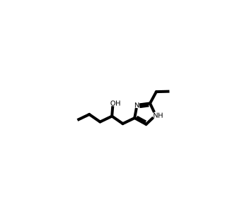 CCCC(O)Cc1c[nH]c(CC)n1